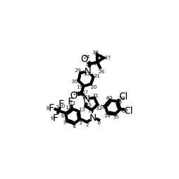 CN(Cc1ccc(C(F)(F)F)c(F)c1)[C@@H]1CN(C(=O)C2CCN(C(=O)C3(C)CC3)CC2)C[C@@H]1c1ccc(Cl)c(Cl)c1